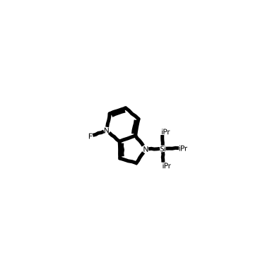 CC(C)[Si](C(C)C)(C(C)C)N1CC=C2C1=CC=CN2F